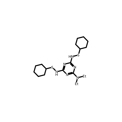 CCN(CC)c1nc(NSC2CCCCC2)nc(NSC2CCCCC2)n1